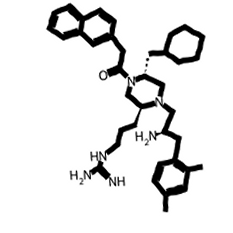 Cc1ccc(C[C@H](N)CN2C[C@@H](CC3CCCCC3)N(C(=O)Cc3ccc4ccccc4c3)C[C@@H]2CCCNC(=N)N)c(C)c1